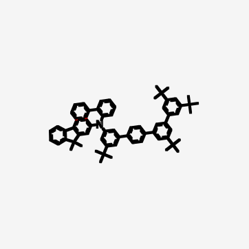 CC(C)(C)c1cc(-c2ccc(-c3cc(N(c4ccc5c(c4)C(C)(C)c4ccccc4-5)c4ccccc4-c4ccccc4)cc(C(C)(C)C)c3)cc2)cc(-c2cc(C(C)(C)C)cc(C(C)(C)C)c2)c1